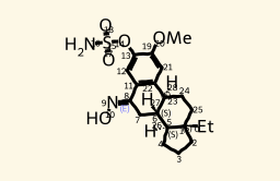 CC[C@@]12CCC[C@H]1[C@@H]1C/C(=N\O)c3cc(OS(N)(=O)=O)c(OC)cc3[C@H]1CC2